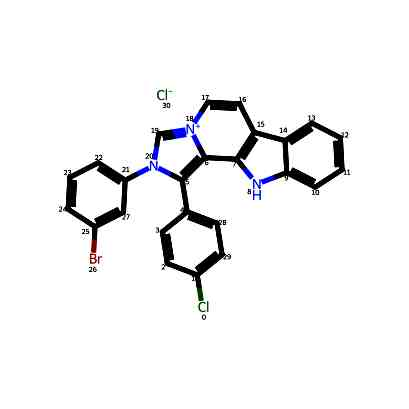 Clc1ccc(-c2c3c4[nH]c5ccccc5c4cc[n+]3cn2-c2cccc(Br)c2)cc1.[Cl-]